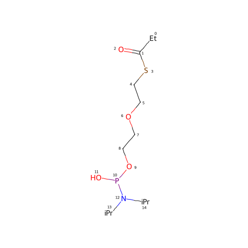 CCC(=O)SCCOCCOP(O)N(C(C)C)C(C)C